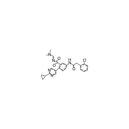 CN(C)C=NS(=O)(=O)c1cc(NC(=O)Cc2ccccc2Cl)ccc1-c1cnc(C2CC2)nc1